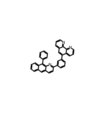 c1ccc(-c2c3ccccc3cc3ccc(-c4cccc(-c5cc6cccnc6c6ncccc56)c4)nc23)cc1